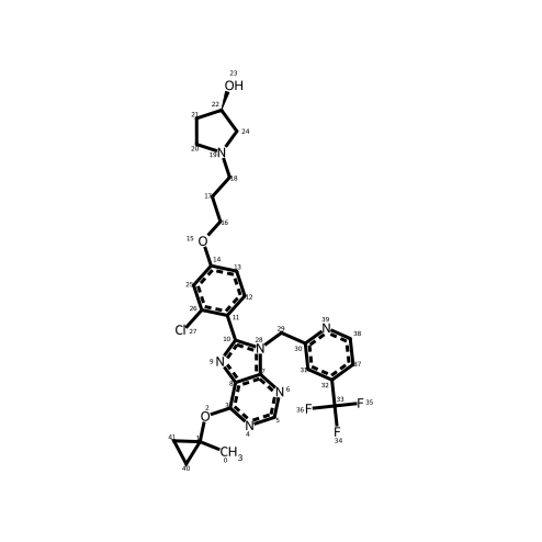 CC1(Oc2ncnc3c2nc(-c2ccc(OCCCN4CC[C@@H](O)C4)cc2Cl)n3Cc2cc(C(F)(F)F)ccn2)CC1